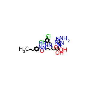 CCCCc1ccc(NC(=O)NCCC[C@H](CNCc2cc(Cl)cc(Cl)c2)C[C@H]2O[C@@H](n3cnc4c(N)ncnc43)[C@@H](O)C2O)cc1